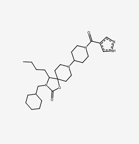 CCCCC1N(CC2CCCCC2)C(=O)OC12CCN(C1CCN(C(=O)c3cn[nH]c3)CC1)CC2